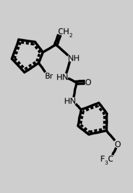 C=C(NNC(=O)Nc1ccc(OC(F)(F)F)cc1)c1ccccc1Br